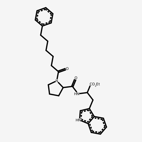 CCOC(=O)C(Cc1c[nH]c2ccccc12)NC(=O)C1CCCN1C(=O)CCCCCc1ccccc1